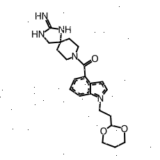 N=C1NCC2(CCN(C(=O)c3cccc4c3ccn4CCC3OCCCO3)CC2)N1